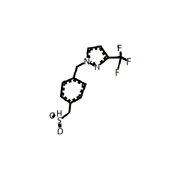 O=[SH](=O)Cc1ccc(Cn2ccc(C(F)(F)F)n2)cc1